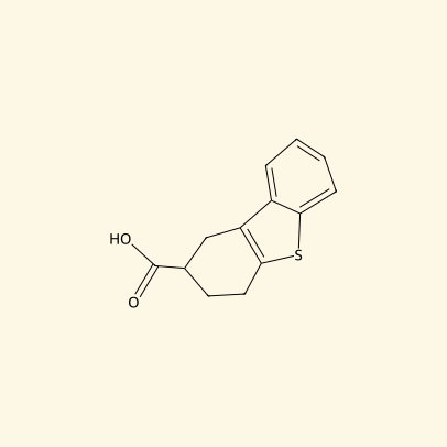 O=C(O)C1CCc2sc3ccccc3c2C1